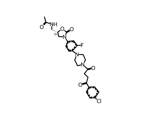 CC(=O)NC[C@H]1CN(c2ccc(N3CCN(C(=O)CCC(=O)c4ccc(Cl)cc4)CC3)c(F)c2)C(=O)O1